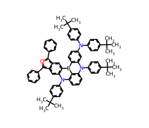 CC(C)(C)c1ccc(N(c2ccc(C(C)(C)C)cc2)c2ccc3c(c2)N(c2ccc(C(C)(C)C)cc2)c2cccc4c2B3c2cc3c(-c5ccccc5)oc(-c5ccccc5)c3cc2N4c2ccc(C(C)(C)C)cc2)cc1